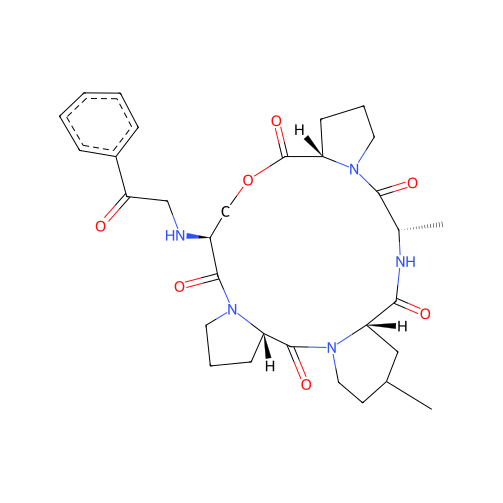 CC1CCN2C(=O)[C@@H]3CCCN3C(=O)[C@@H](NCC(=O)c3ccccc3)COC(=O)[C@@H]3CCCN3C(=O)[C@H](C)NC(=O)[C@@H]2C1